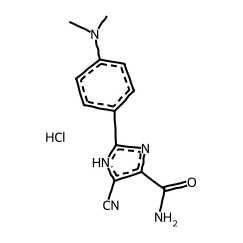 CN(C)c1ccc(-c2nc(C(N)=O)c(C#N)[nH]2)cc1.Cl